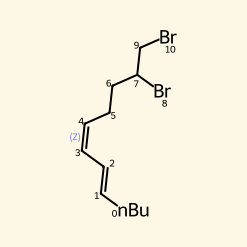 CCCCC=C/C=C\CCC(Br)CBr